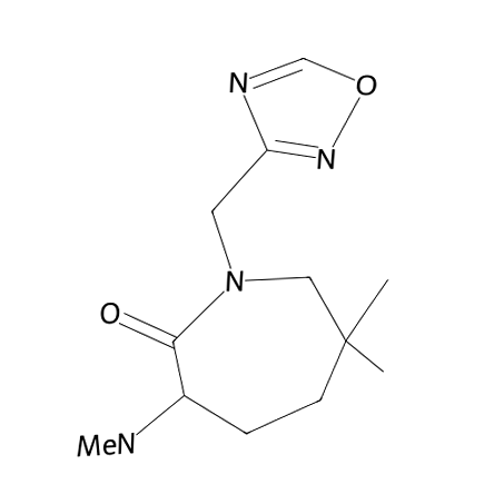 CNC1CCC(C)(C)CN(Cc2ncon2)C1=O